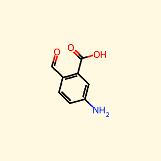 Nc1ccc(C=O)c(C(=O)O)c1